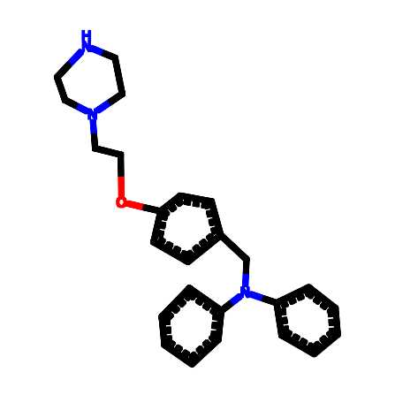 c1ccc(N(Cc2ccc(OCCN3CCNCC3)cc2)c2ccccc2)cc1